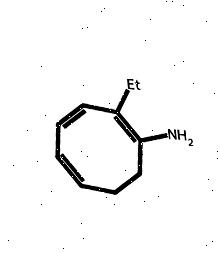 CCC1=C(N)CCC=CC=C1